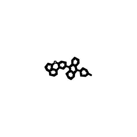 Cc1ccc(-c2c3ccccc3c(-c3ccc4c(c3)-c3cccc5cccc(c35)O4)c3ccccc23)cc1